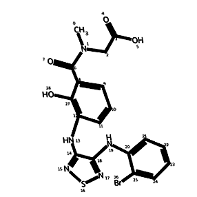 CN(CC(=O)O)C(=O)c1cccc(Nc2nsnc2Nc2ccccc2Br)c1O